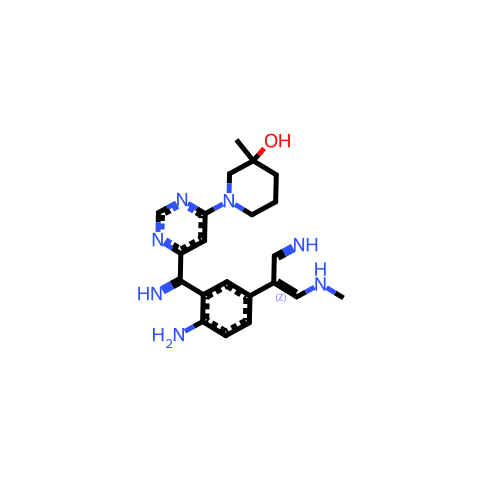 CN/C=C(\C=N)c1ccc(N)c(C(=N)c2cc(N3CCCC(C)(O)C3)ncn2)c1